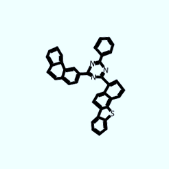 c1ccc(-c2nc(-c3ccc4ccc5ccccc5c4c3)nc(-c3cccc4c3ccc3c5ccccc5sc43)n2)cc1